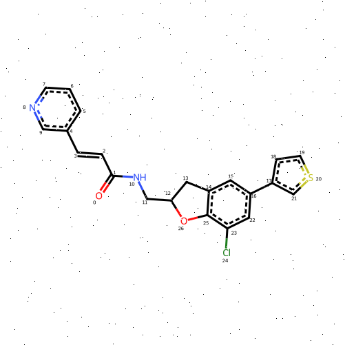 O=C(C=Cc1cccnc1)NCC1Cc2cc(-c3ccsc3)cc(Cl)c2O1